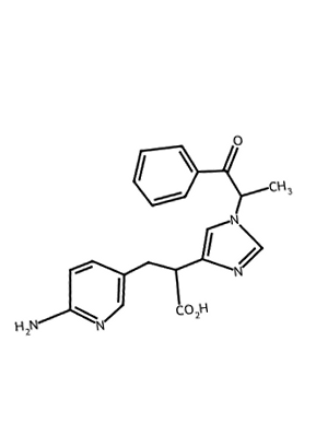 CC(C(=O)c1ccccc1)n1cnc(C(Cc2ccc(N)nc2)C(=O)O)c1